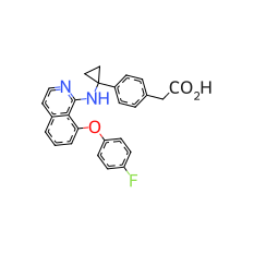 O=C(O)Cc1ccc(C2(Nc3nccc4cccc(Oc5ccc(F)cc5)c34)CC2)cc1